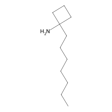 CCCCCCCC1(N)CCC1